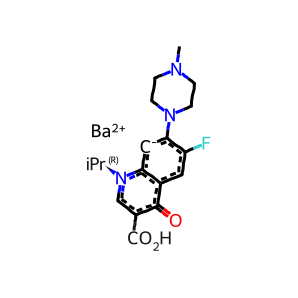 [Ba+2].[CH2-][C@H](C)n1cc(C(=O)O)c(=O)c2cc(F)c(N3CCN(C)CC3)[c-]c21